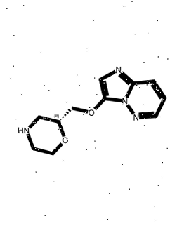 c1cnn2c(OC[C@H]3CNCCO3)cnc2c1